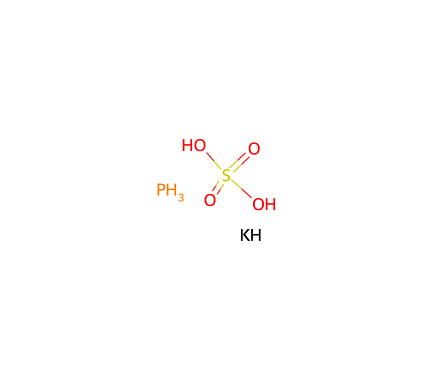 O=S(=O)(O)O.P.[KH]